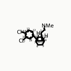 CNCC[C@@H]1C2CCC(CC2)[C@@H]1c1ccc(Cl)c(Cl)c1